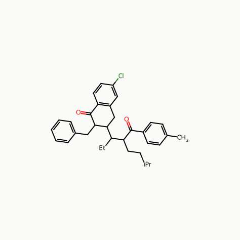 CCC(C(CCC(C)C)C(=O)c1ccc(C)cc1)C1Cc2cc(Cl)ccc2C(=O)C1Cc1ccccc1